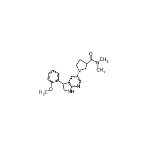 COc1ccccc1C1CNc2ncc(N3CCC(C(=O)N(C)C)C3)cc21